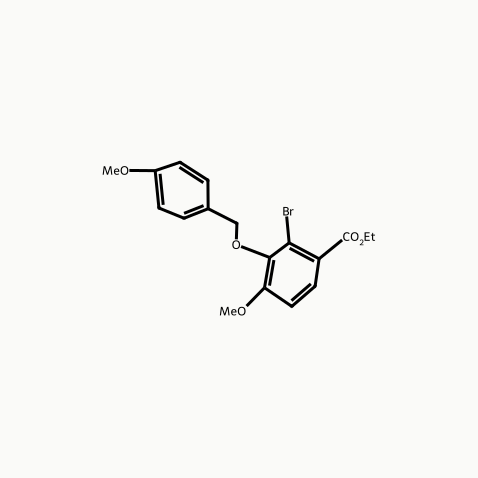 CCOC(=O)c1ccc(OC)c(OCc2ccc(OC)cc2)c1Br